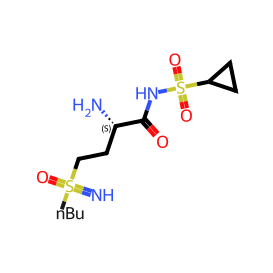 CCCCS(=N)(=O)CC[C@H](N)C(=O)NS(=O)(=O)C1CC1